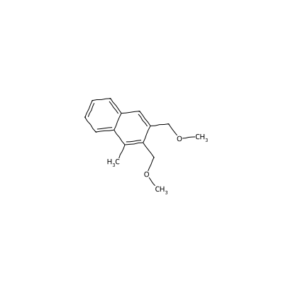 COCc1cc2ccccc2c(C)c1COC